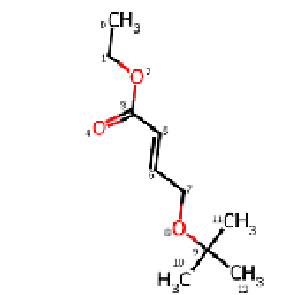 CCOC(=O)/C=C/COC(C)(C)C